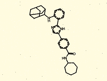 O=C(NC1CCCCCC1)c1ccc(-c2cnc(-c3ccccc3NC3C4CC5CC(C4)CC3C5)[nH]2)cc1